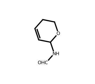 O=CNC1C=CCCO1